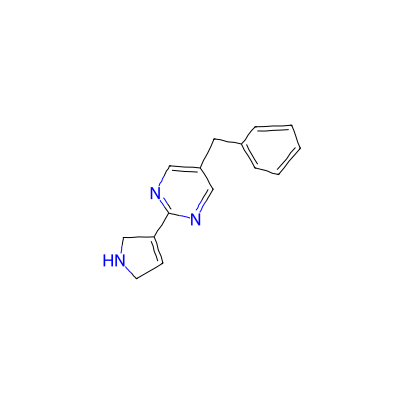 C1=C(c2ncc(Cc3ccccc3)cn2)CNC1